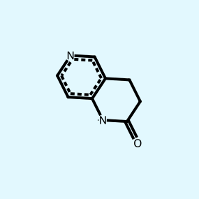 O=C1CCc2cnccc2[N]1